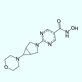 O=C(NO)c1cnc(N2CC3C(C2)C3N2CCOCC2)nc1